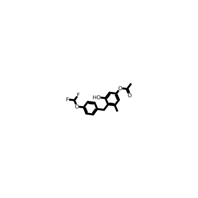 CC(=O)Oc1cc(C)c(Cc2ccc(OC(F)F)cc2)c(O)c1